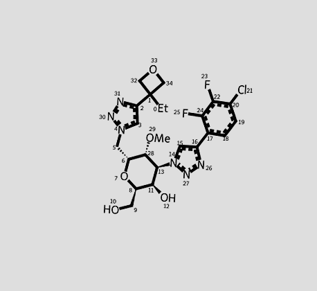 CCC1(c2cn(C[C@H]3O[C@H](CO)[C@H](O)[C@H](n4cc(-c5ccc(Cl)c(F)c5F)nn4)[C@H]3OC)nn2)COC1